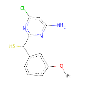 CC(C)Oc1cccc(C(S)c2nc(N)cc(Cl)n2)c1